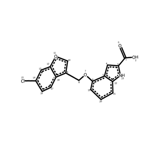 O=C(O)c1cc2c(OCc3coc4cc(Cl)ccc34)cccc2[nH]1